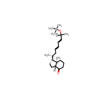 C[C@H](CC=CC=CC(C)(C)O[Si](C)(C)C)[C@H]1CC[C@H]2C(=O)CCC[C@]12C